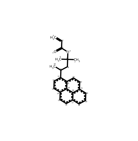 C=CC(=O)OC(C)(C)CC(C)c1ccc2ccc3cccc4ccc1c2c34